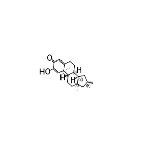 C[C@@H]1C[C@H]2[C@@H]3CCC4=CC(=O)C(O)=C[C@]4(C)[C@H]3CC[C@]2(C)C1